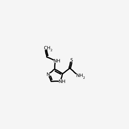 C=CNc1nc[nH]c1C(N)=S